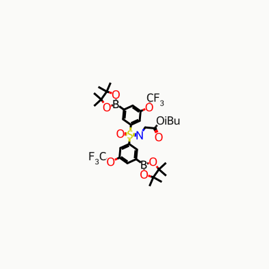 CC(C)COC(=O)CN=S(=O)(c1cc(OC(F)(F)F)cc(B2OC(C)(C)C(C)(C)O2)c1)c1cc(OC(F)(F)F)cc(B2OC(C)(C)C(C)(C)O2)c1